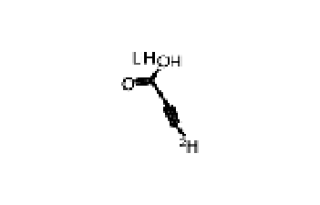 [2H]C#CC(=O)O.[LiH]